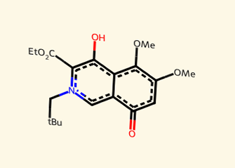 CCOC(=O)c1c(O)c2c(OC)c(OC)cc(=O)c-2cn1CC(C)(C)C